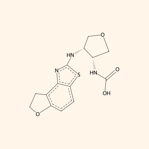 O=C(O)N[C@H]1COC[C@H]1Nc1nc2c3c(ccc2s1)OCC3